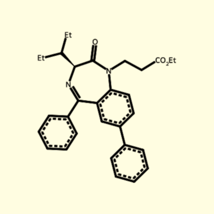 CCOC(=O)CCN1C(=O)[C@H](C(CC)CC)N=C(c2ccccc2)c2cc(-c3ccccc3)ccc21